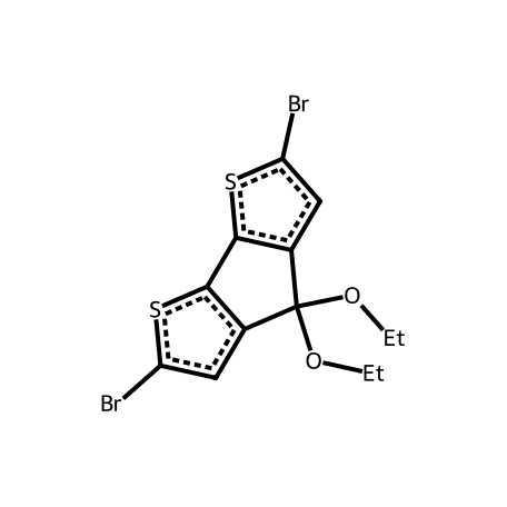 CCOC1(OCC)c2cc(Br)sc2-c2sc(Br)cc21